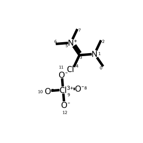 CN(C)C(Cl)=[N+](C)C.[O-][Cl+3]([O-])([O-])[O-]